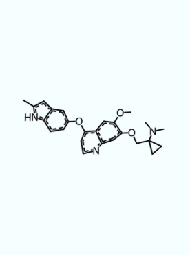 COc1cc2c(Oc3ccc4[nH]c(C)cc4c3)ccnc2cc1OCC1(N(C)C)CC1